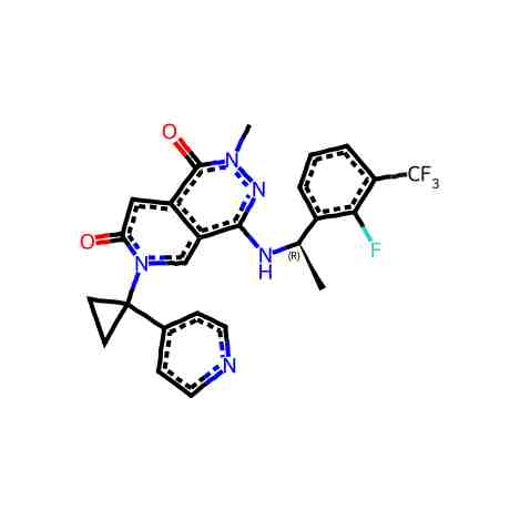 C[C@@H](Nc1nn(C)c(=O)c2cc(=O)n(C3(c4ccncc4)CC3)cc12)c1cccc(C(F)(F)F)c1F